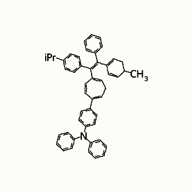 CC1C=CC(/C(=C(\C2=CCC=C(c3ccc(N(c4ccccc4)c4ccccc4)cc3)C=C2)c2ccc(C(C)C)cc2)c2ccccc2)=CC1